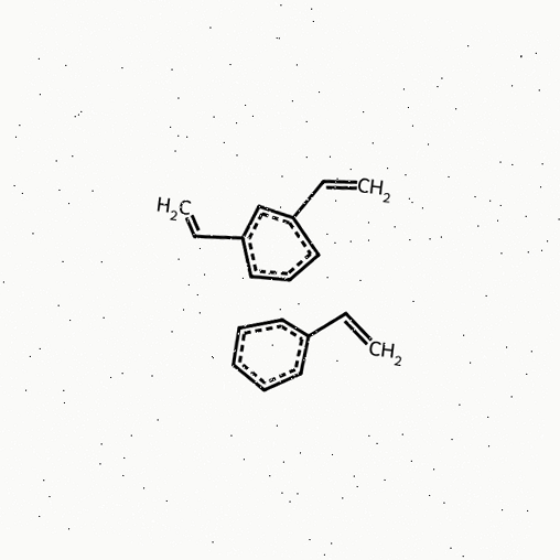 C=Cc1cccc(C=C)c1.C=Cc1ccccc1